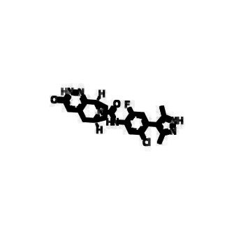 Cc1n[nH]c(C)c1-c1cc(F)c(NC(=O)N2[C@H]3CC[C@@H]2c2n[nH]c(=O)cc2C3)cc1Cl